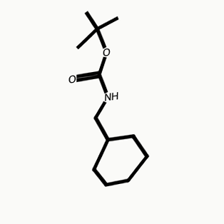 CC(C)(C)OC(=O)NCC1CCCCC1